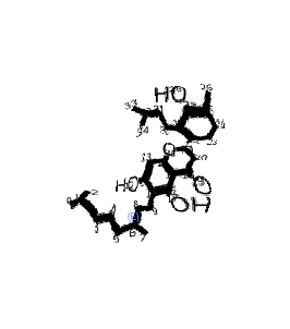 CC(C)=CCC/C(C)=C/Cc1c(O)cc2c(c1O)C(=O)C[C@@H](c1ccc(C)c(O)c1CC=C(C)C)O2